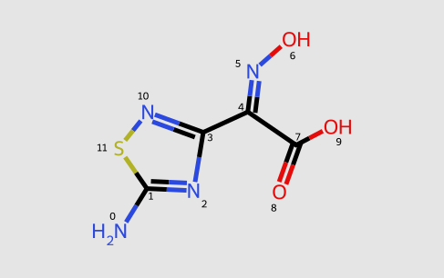 Nc1nc(C(=NO)C(=O)O)ns1